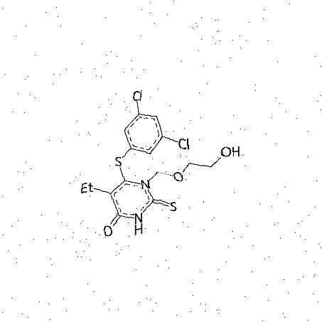 CCc1c(Sc2cc(Cl)cc(Cl)c2)n(COCCO)c(=S)[nH]c1=O